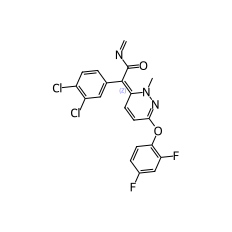 C=NC(=O)/C(=C1/C=CC(Oc2ccc(F)cc2F)=NN1C)c1ccc(Cl)c(Cl)c1